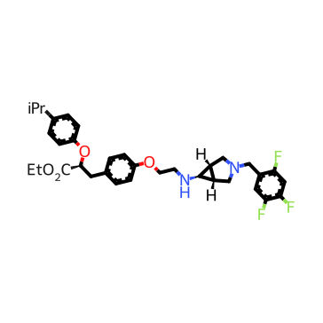 CCOC(=O)[C@H](Cc1ccc(OCCN[C@H]2[C@@H]3CN(Cc4cc(F)c(F)cc4F)C[C@@H]32)cc1)Oc1ccc(C(C)C)cc1